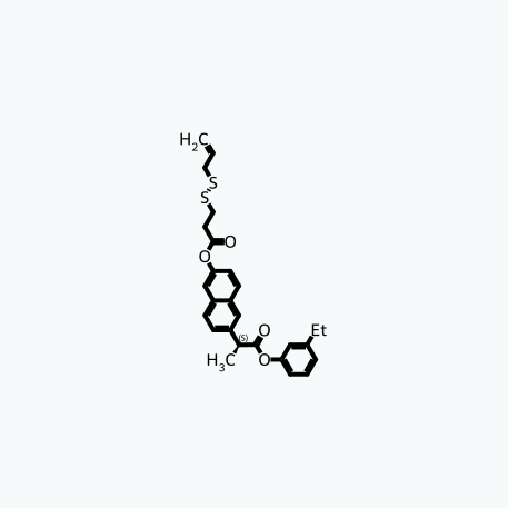 C=CCSSCCC(=O)Oc1ccc2cc([C@H](C)C(=O)Oc3cccc(CC)c3)ccc2c1